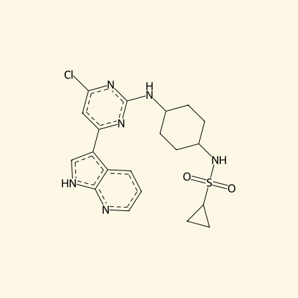 O=S(=O)(NC1CCC(Nc2nc(Cl)cc(-c3c[nH]c4ncccc34)n2)CC1)C1CC1